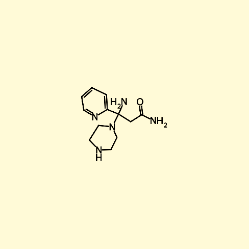 NC(=O)CC(N)(c1ccccn1)N1CCNCC1